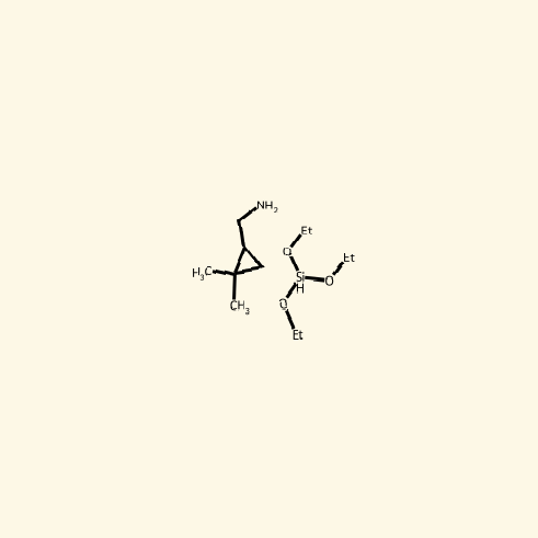 CC1(C)CC1CN.CCO[SiH](OCC)OCC